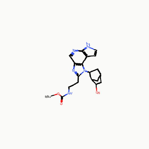 CC(C)(C)OC(=O)NCCc1nc2cnc3[nH]ccc3c2n1C1CC2CC(O)C1C2